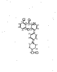 O=CC1CCN(c2ccc(-c3ccnc4c(=O)c5c(Cl)cccc5oc34)cc2)CC1